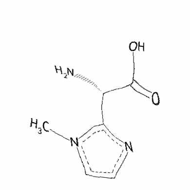 Cn1ccnc1[C@H](N)C(=O)O